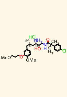 COCCCOc1cc(C[C@@H](C[C@H](N)[C@@H](O)CNC(=O)C(C)(C)c2ccc(Cl)cc2)C(C)C)ccc1OC.Cl